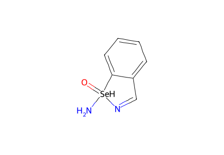 N[SeH]1(=O)N=Cc2ccccc21